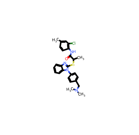 Cc1ccc(NC(=O)C(C)Sc2nc3ccccc3n2-c2ccc(CN(C)C)cc2)c(Cl)c1